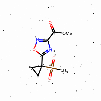 COC(=O)c1noc(C2(S(C)(=O)=O)CC2)n1